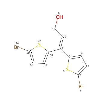 OCC=C(c1ccc(Br)s1)c1ccc(Br)s1